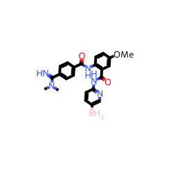 Bc1ccc(NC(=O)c2cc(OC)ccc2NC(=O)c2ccc(C(=N)N(C)C)cc2)nc1